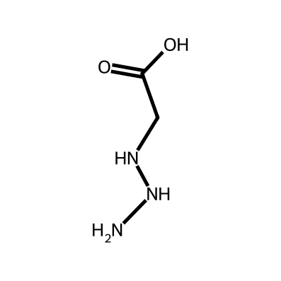 NNNCC(=O)O